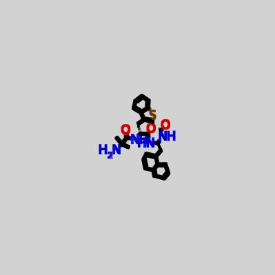 CC(C)(N)C(=O)N[C@H](Cc1csc2ccccc12)C(=O)N[C@H](Cc1cccc2ccccc12)NC=O